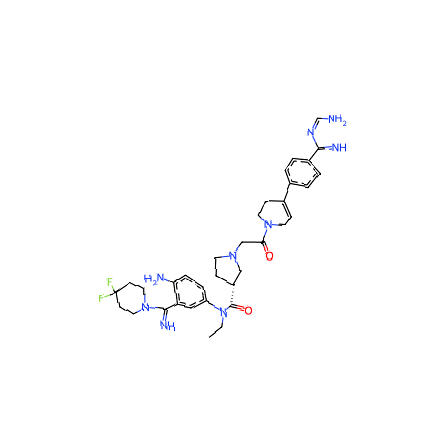 CCN(C(=O)[C@@H]1CCN(CC(=O)N2CC=C(c3ccc(C(=N)/N=C\N)cc3)CC2)C1)c1ccc(N)c(C(=N)N2CCC(F)(F)CC2)c1